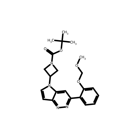 COCOc1ccccc1-c1cc2c(ccn2C2CN(C(=O)OC(C)(C)C)C2)nn1